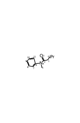 CC(C)CC(=O)N(C)c1ccccc1